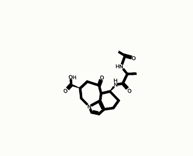 CC(=O)NC(C)C(=O)N[C@H]1CCc2ccn3c2C1C(=O)C[C@H](C(=O)O)C3